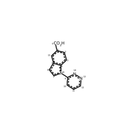 O=C(O)c1ccc2c(ccn2-c2cccnn2)c1